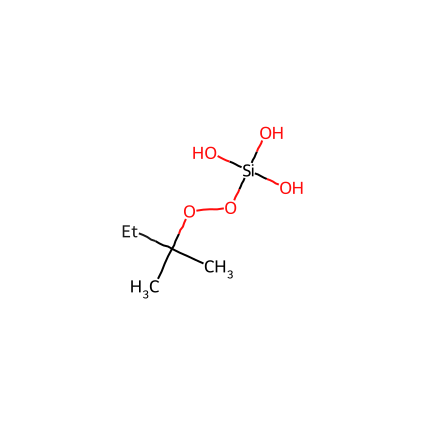 CCC(C)(C)OO[Si](O)(O)O